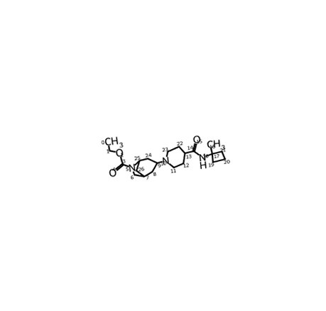 CCOC(=O)N1CC2CC(N3CCC(C(=O)NC4(C)CCC4)CC3)CC1C2